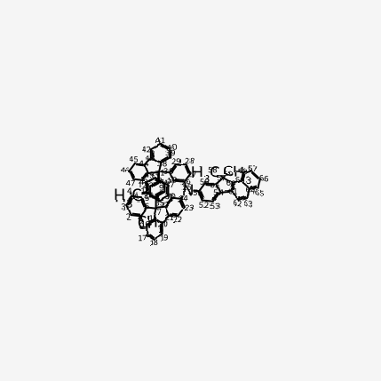 Cc1ccccc1C1(c2ccccc2C)c2ccccc2-c2ccc(N(c3cccc(C4(c5ccccc5)c5ccccc5-c5ccccc54)c3)c3ccc4c(c3)C(C)(C)c3c-4ccc4ccccc34)cc21